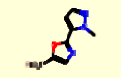 CCOC(=O)c1cnc(-c2ccnn2C)o1